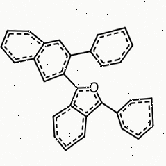 c1ccc(-c2cc3ccccc3cc2-c2oc(-c3ccccc3)c3ccccc23)cc1